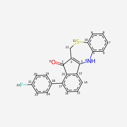 O=C1C2=C(Nc3ccccc3SC2)c2cccc(-c3ccc(F)cc3)c21